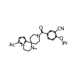 CC(=O)c1ccc2n1CCN(C)C21CCN(C(=O)c2ccc(OC(C)C)c(C#N)c2)CC1